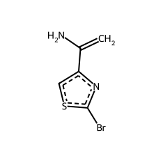 C=C(N)c1csc(Br)n1